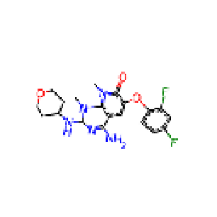 CN1c2c(cc(Oc3ccc(F)cc3F)c(=O)n2C)C(N)=NC1NC1CCOCC1